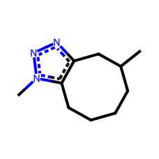 CC1CCCCc2c(nnn2C)C1